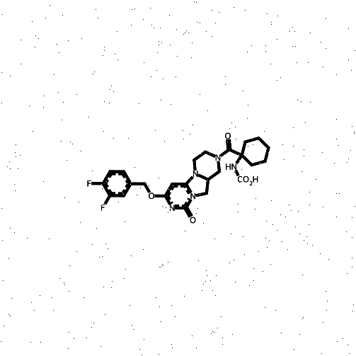 O=C(O)NC1(C(=O)N2CCN3c4cc(OCc5ccc(F)c(F)c5)nc(=O)n4CC3C2)CCCCC1